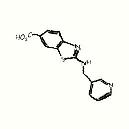 O=C(O)c1ccc2nc(NCc3cccnc3)sc2c1